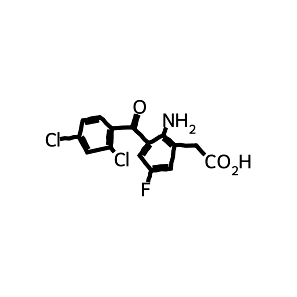 Nc1c(CC(=O)O)cc(F)cc1C(=O)c1ccc(Cl)cc1Cl